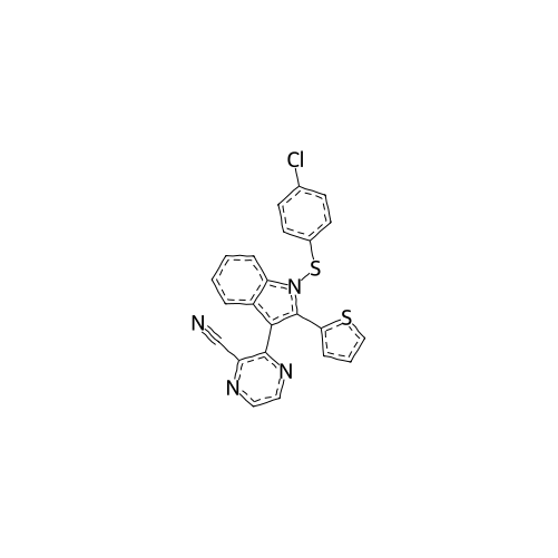 N#Cc1nccnc1-c1c(-c2cccs2)n(Sc2ccc(Cl)cc2)c2ccccc12